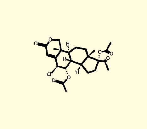 CC(=O)O[C@H]1[C@@H]2[C@H](CC[C@@]3(C)[C@H]2CC[C@]3(OC(C)=O)C(C)=O)[C@@]2(C)COC(=O)C=C2[C@@H]1Cl